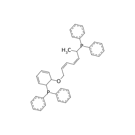 CC(/C=C\C=C/COC1C=CC=CC1P(c1ccccc1)c1ccccc1)P(c1ccccc1)c1ccccc1